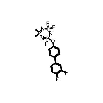 CP1(C)=NP(F)(F)=NP(F)(Oc2ccc(-c3ccc(F)c(F)c3)cc2)=N1